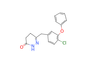 O=C1CCC(Cc2ccc(Cl)c(Oc3ccccc3)c2)=NN1